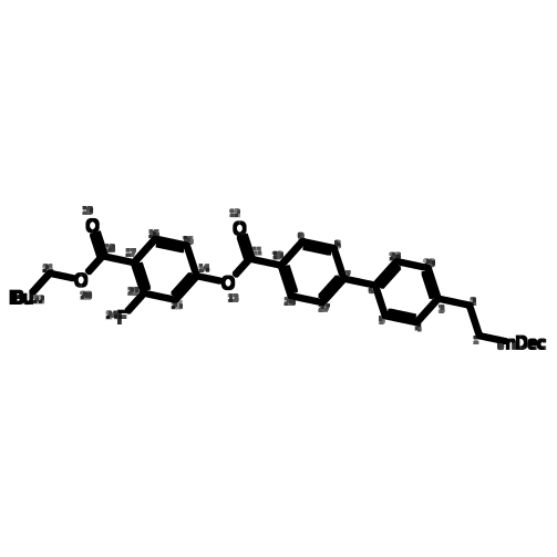 CCCCCCCCCCCCc1ccc(-c2ccc(C(=O)Oc3ccc(C(=O)OCC(C)CC)c(F)c3)cc2)cc1